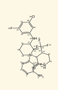 Nc1ncnc([N+]2(C3C(=O)NCCC3C(F)(F)F)CCCC(Nc3cc(F)cc(Cl)c3)C2=O)c1F